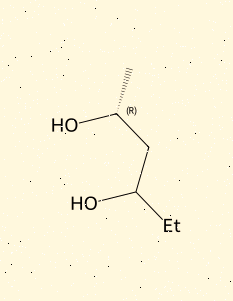 CCC(O)C[C@@H](C)O